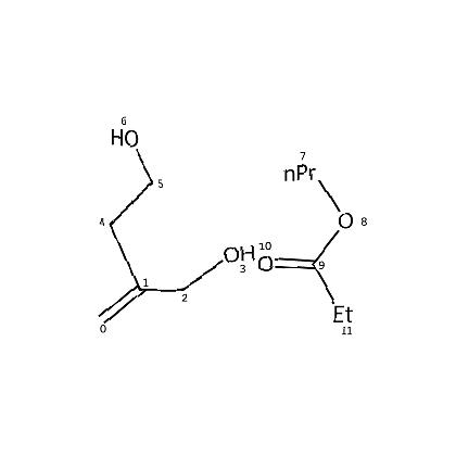 C=C(CO)CCO.CCCOC(=O)CC